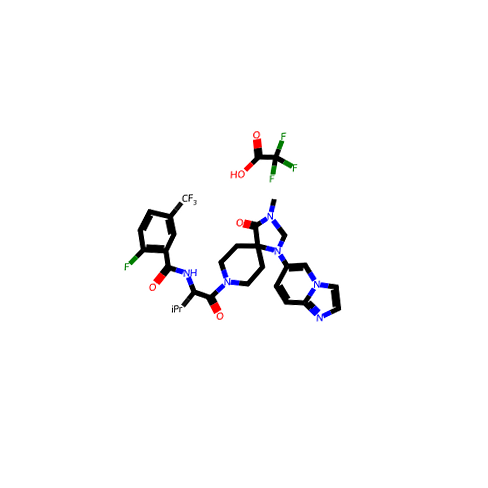 CC(C)C(NC(=O)c1cc(C(F)(F)F)ccc1F)C(=O)N1CCC2(CC1)C(=O)N(C)CN2c1ccc2nccn2c1.O=C(O)C(F)(F)F